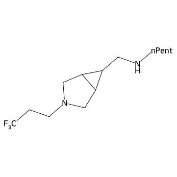 CCCCCNCC1C2CN(CCC(F)(F)F)CC12